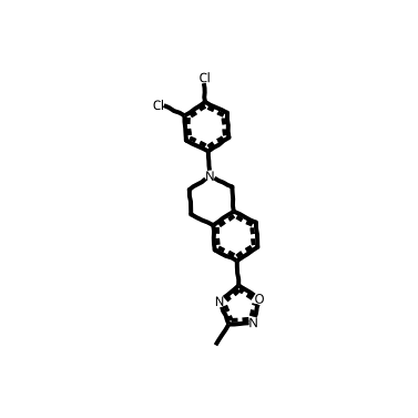 Cc1noc(-c2ccc3c(c2)CCN(c2ccc(Cl)c(Cl)c2)C3)n1